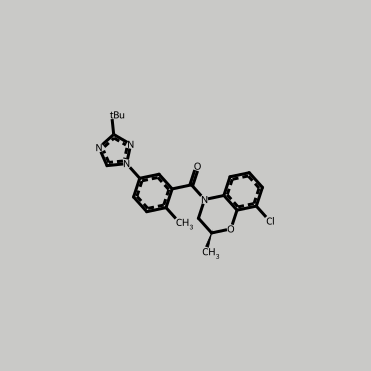 Cc1ccc(-n2cnc(C(C)(C)C)n2)cc1C(=O)N1C[C@H](C)Oc2c(Cl)cccc21